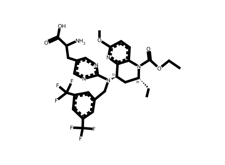 CCOC(=O)N1c2ccc(OC)nc2[C@@H](N(Cc2cc(C(F)(F)F)cc(C(F)(F)F)c2)c2ncc(CC(N)C(=O)O)cn2)C[C@H]1CC